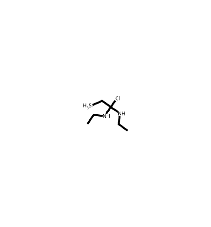 CCNC(Cl)(C[SiH3])NCC